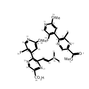 COC(=O)c1cnc(-c2cc(OC)ncc2F)c(C)n1.COc1cc(-c2ncc(C(=O)O)nc2C=CN(C)C)c(F)cn1